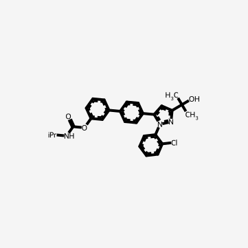 CC(C)NC(=O)Oc1cccc(-c2ccc(-c3cc(C(C)(C)O)nn3-c3ccccc3Cl)cc2)c1